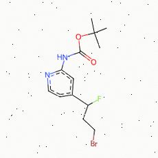 CC(C)(C)OC(=O)Nc1cc(C(F)CCBr)ccn1